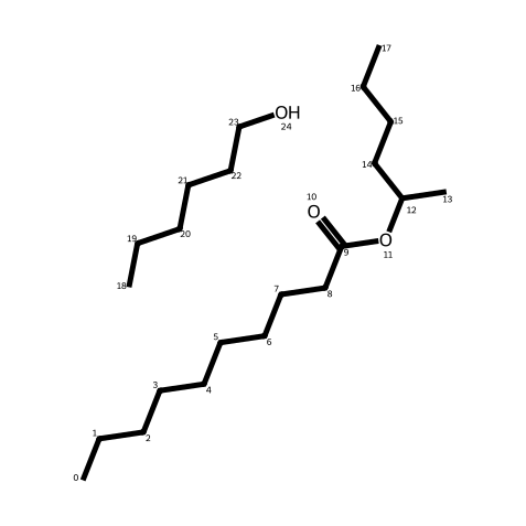 CCCCCCCCCC(=O)OC(C)CCCC.CCCCCCO